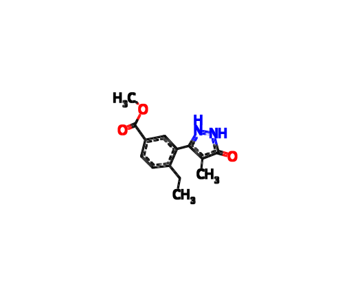 CCc1ccc(C(=O)OC)cc1-c1[nH][nH]c(=O)c1C